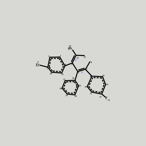 CCc1ccc(C(/C(=C(\C)c2ccc(F)cc2)c2ccccc2)=C(/C)C(C)C)cc1